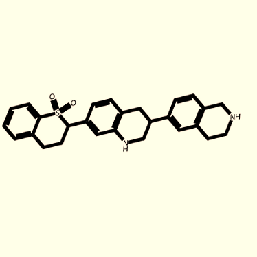 O=S1(=O)c2ccccc2CCC1c1ccc2c(c1)NCC(c1ccc3c(c1)CCNC3)C2